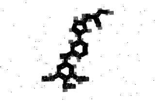 COc1cc(Nc2nccc(-c3cnc(NC(=O)CF)s3)n2)cc(OC)c1OC